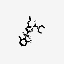 C=CCc1cc(S(=O)(=O)c2c(C)cccc2Cl)nn1C(=O)N(CC)CC